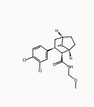 COCNC(=O)[C@H]1[C@@H](c2ccc(Cl)c(Cl)c2)C[C@@H]2CC[C@H]1N2C